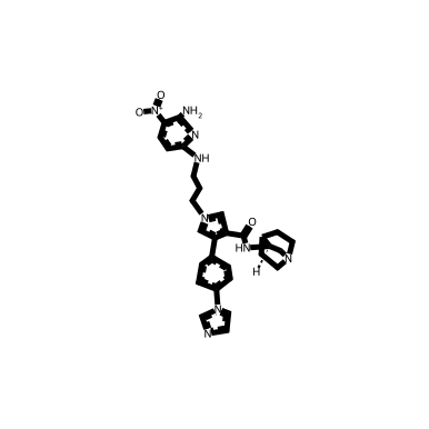 Nc1nc(NCCCn2cc(C(=O)N[C@@H]3CN4CCC3CC4)c(-c3ccc(-n4ccnc4)cc3)c2)ccc1[N+](=O)[O-]